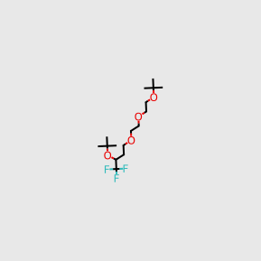 CC(C)(C)OCCOCCOCCC(OC(C)(C)C)C(F)(F)F